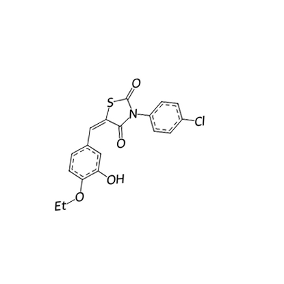 CCOc1ccc(C=C2SC(=O)N(c3ccc(Cl)cc3)C2=O)cc1O